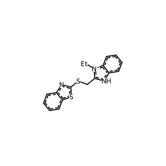 CC[n+]1c(CSc2nc3ccccc3s2)[nH]c2ccccc21